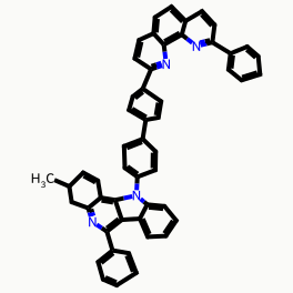 CC1C=Cc2c(nc(-c3ccccc3)c3c4ccccc4n(-c4ccc(-c5ccc(-c6ccc7ccc8ccc(-c9ccccc9)nc8c7n6)cc5)cc4)c23)C1